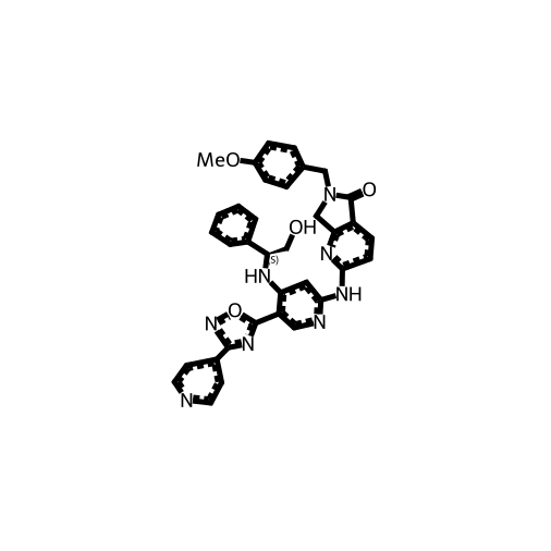 COc1ccc(CN2Cc3nc(Nc4cc(N[C@H](CO)c5ccccc5)c(-c5nc(-c6ccncc6)no5)cn4)ccc3C2=O)cc1